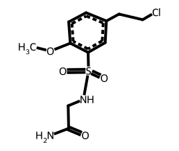 COc1ccc(CCCl)cc1S(=O)(=O)NCC(N)=O